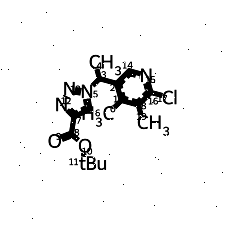 Cc1c(C(C)n2cc(C(=O)OC(C)(C)C)nn2)cnc(Cl)c1C